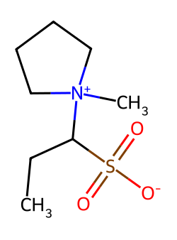 CCC([N+]1(C)CCCC1)S(=O)(=O)[O-]